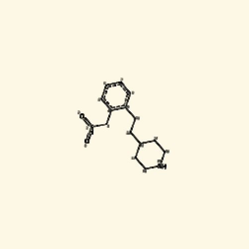 O=[SH](=O)Cc1ccccc1C[CH]C1CCNCC1